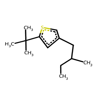 CCC(C)Cc1csc(C(C)(C)C)c1